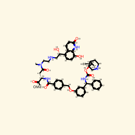 COC(=O)[C@H](CC(=O)N(C)CCNC[C@H](O)c1ccc(O)c2[nH]c(=O)ccc12)NC(=O)c1ccc(COc2cccc(C(NC(=O)O[C@H]3CN4CCC3CC4)c3ccccc3)c2)cc1